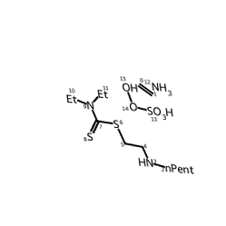 C=C.CCCCCNCCSC(=S)N(CC)CC.N.O=S(=O)(O)OO